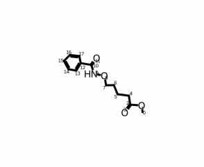 COC(=O)CCCCONC(=O)c1ccccc1